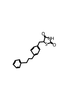 O=C1NC(=O)C(Cc2ccc(CCCc3ccccc3)cc2)S1